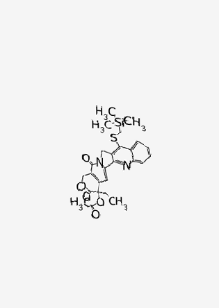 CC[C@@]1(OC(C)=O)C(=O)OCc2c1cc1n(c2=O)Cc2c-1nc1ccccc1c2SC[Si](C)(C)C